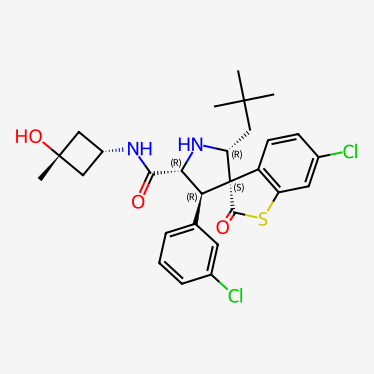 CC(C)(C)C[C@H]1N[C@@H](C(=O)N[C@H]2C[C@@](C)(O)C2)[C@H](c2cccc(Cl)c2)[C@@]12C(=O)Sc1cc(Cl)ccc12